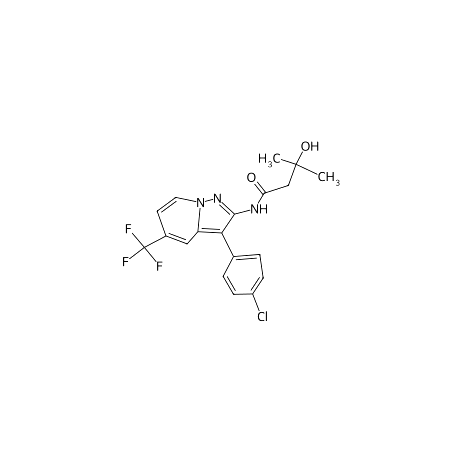 CC(C)(O)CC(=O)Nc1nn2ccc(C(F)(F)F)cc2c1-c1ccc(Cl)cc1